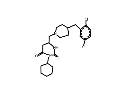 O=C1CC(CN2CCC(Cc3cc(Cl)ccc3Cl)CC2)NC(=O)N1C1CCCCC1